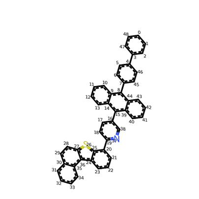 c1ccc(-c2ccc(-c3c4ccccc4c(-c4ccc(-c5cccc6c5sc5ccc7ccccc7c56)nc4)c4ccccc34)cc2)cc1